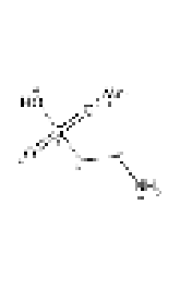 NCCS(=O)(=O)O.[Mn]